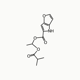 CC(OC(=O)c1cc2occc2[nH]1)OC(=O)C(C)C